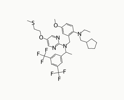 CCN(CC1CCCC1)c1ccc(OC)cc1CN(c1ncc(OCCSC)cn1)C(C)c1cc(C(F)(F)F)cc(C(F)(F)F)c1